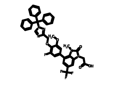 COc1cc(-c2cc(C(F)(F)F)cc3c2n(C)c(=O)n3CC(=O)O)cc(F)c1OCc1ncn(C(c2ccccc2)(c2ccccc2)c2ccccc2)n1